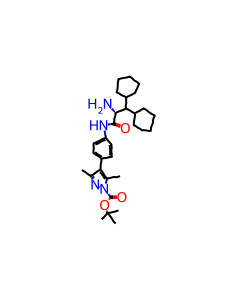 Cc1nn(C(=O)OC(C)(C)C)c(C)c1-c1ccc(NC(=O)[C@@H](N)C(C2CCCCC2)C2CCCCC2)cc1